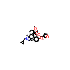 COc1ccc2c3c1O[C@H]1C4(OC)CC[C@@]5(C[C@]4(C)COCc4ccoc4)[C@@H]4N(CC6CC6)CC4(C2)C[C@]315